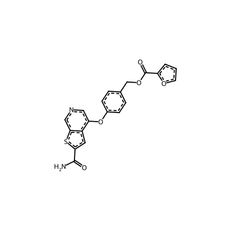 NC(=O)c1cc2c(Oc3ccc(COC(=O)c4ccco4)cc3)cncc2s1